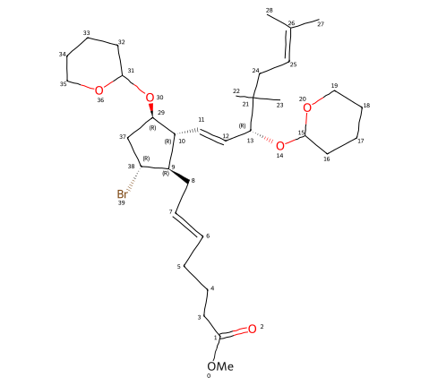 COC(=O)CCCC=CC[C@@H]1[C@@H](C=C[C@@H](OC2CCCCO2)C(C)(C)CC=C(C)C)[C@H](OC2CCCCO2)C[C@H]1Br